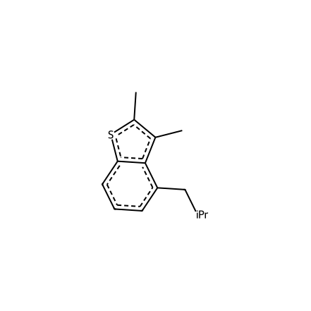 Cc1sc2cccc(CC(C)C)c2c1C